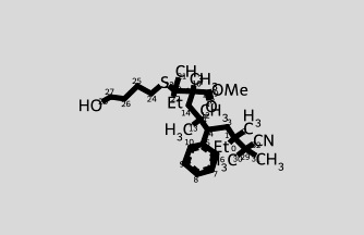 CCC(C)(CC(c1ccccc1)C(C)(C)CC(C)(C(=O)OC)C(C)(CC)SCCCCO)C(C)(C)C#N